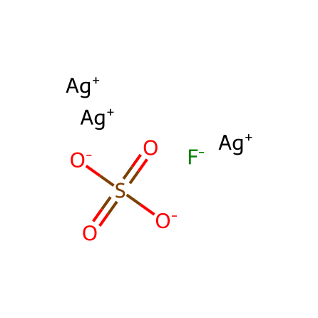 O=S(=O)([O-])[O-].[Ag+].[Ag+].[Ag+].[F-]